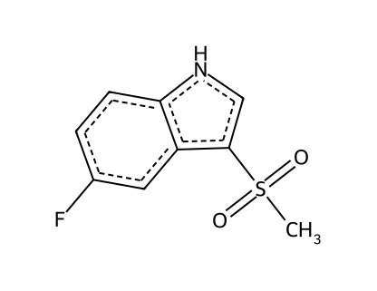 CS(=O)(=O)c1c[nH]c2ccc(F)cc12